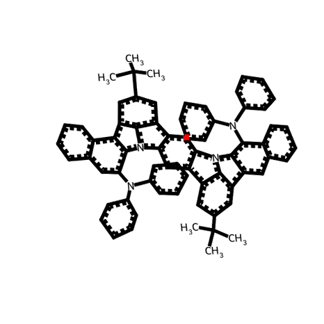 CC(C)(C)c1cc2c3cc4c(cc3n3c5c(N(c6ccccc6)c6ccccc6)c6ccccc6cc5c(c1)c23)c1cc(C(C)(C)C)cc2c3c5ccccc5cc(N(c5ccccc5)c5ccccc5)c3n4c12